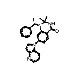 C[C@H](c1ccccc1)N1c2cc(-n3ccc4ncccc43)ccc2C(=O)NC1(C)C